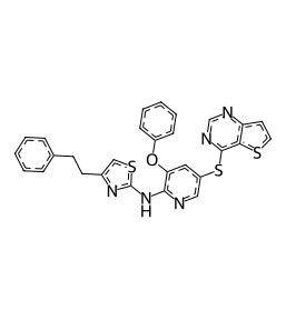 c1ccc(CCc2csc(Nc3ncc(Sc4ncnc5ccsc45)cc3Oc3ccccc3)n2)cc1